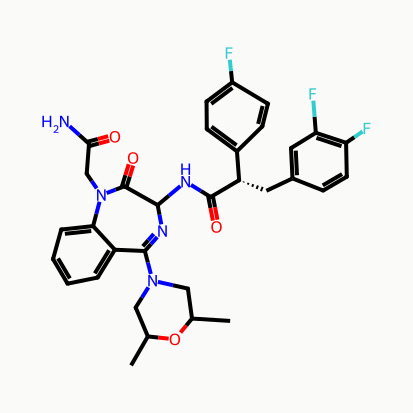 CC1CN(C2=NC(NC(=O)[C@@H](Cc3ccc(F)c(F)c3)c3ccc(F)cc3)C(=O)N(CC(N)=O)c3ccccc32)CC(C)O1